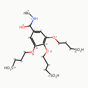 CCCCNC(O)c1cc(OCCCS(=O)(=O)O)c(OCCCS(=O)(=O)O)c(OCCCS(=O)(=O)O)c1